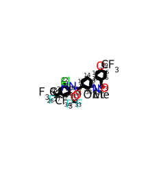 CCN(C(=O)c1ccc(OC(F)(F)F)cc1)c1cccc(C(=O)Nc2c(Cl)cc(C(F)(C(F)(F)F)C(F)(F)F)cc2OC(F)F)c1OC